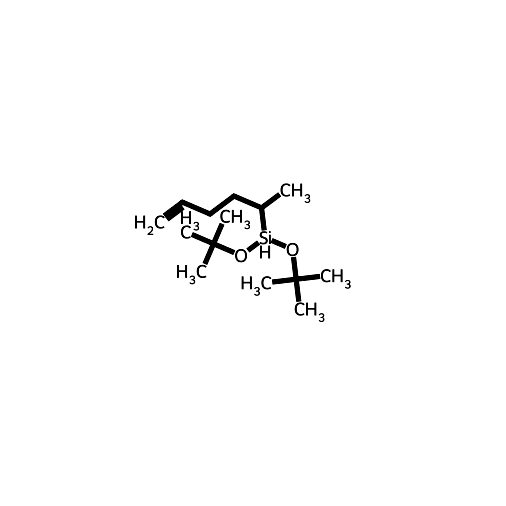 C=CCCC(C)[SiH](OC(C)(C)C)OC(C)(C)C